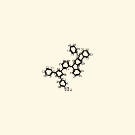 CC(C)(C)c1ccc(-c2cc(-c3ccccc3)cc(-c3cccc(C4c5ccccc5-c5cc6c7ccccc7n(-c7ccccc7)c6cc54)c3)c2)cc1